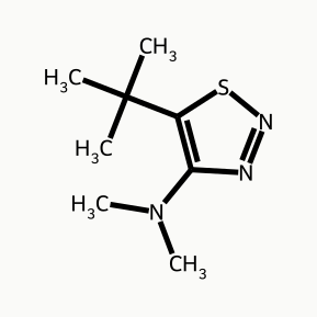 CN(C)c1nnsc1C(C)(C)C